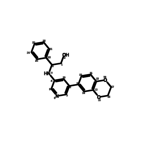 OCC(Nc1cncc(-c2ccc3c(c2)OCCO3)c1)c1ccccc1